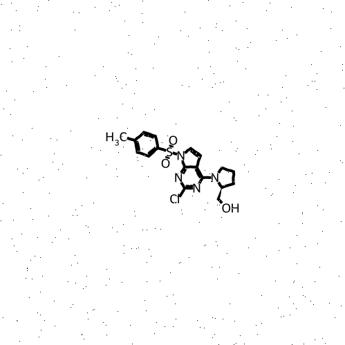 Cc1ccc(S(=O)(=O)n2ccc3c(N4CCC[C@H]4CO)nc(Cl)nc32)cc1